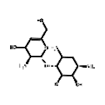 NC1C[C@@H](N)[C@@H](O)C(O)[C@@H]1O[C@H]1OC(CO)=CC(O)[C@@H]1N